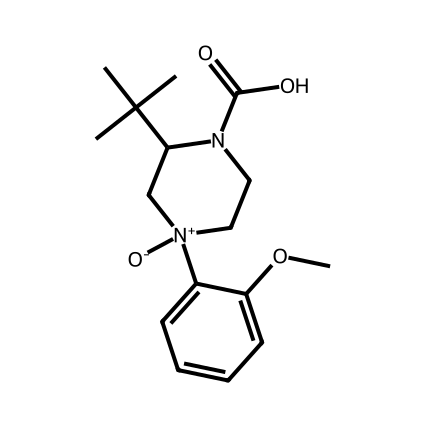 COc1ccccc1[N+]1([O-])CCN(C(=O)O)C(C(C)(C)C)C1